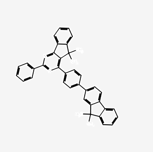 CC1(C)c2ccccc2-c2ccc(-c3ccc(-c4nc(-c5ccccc5)nc5c4C(C)(C)c4ccccc4-5)cc3)cc21